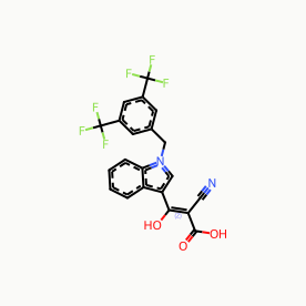 N#C/C(C(=O)O)=C(/O)c1cn(Cc2cc(C(F)(F)F)cc(C(F)(F)F)c2)c2ccccc12